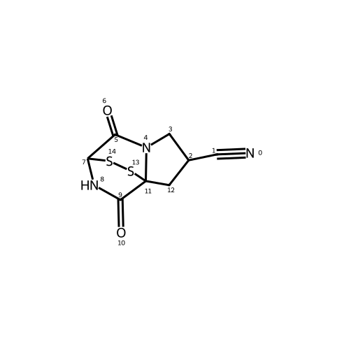 N#CC1CN2C(=O)C3NC(=O)C2(C1)SS3